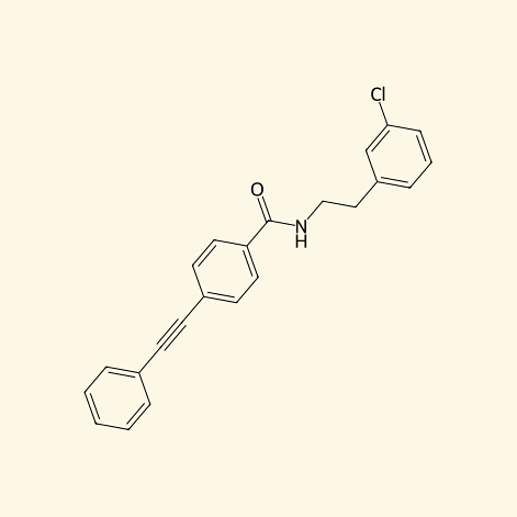 O=C(NCCc1cccc(Cl)c1)c1ccc(C#Cc2ccccc2)cc1